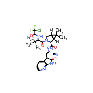 CC(C)(C)C(NC(=O)C(F)(F)Cl)C(=O)N1C[C@H]2[C@@H]([C@H]1C(=O)N[C@H](C#N)CC1C(=O)Nc3ncccc31)C2(C)C